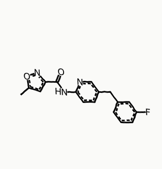 Cc1cc(C(=O)Nc2ccc(Cc3cccc(F)c3)cn2)no1